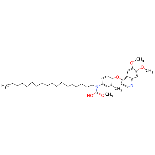 CCCCCCCCCCCCCCCCCCN(C(=O)O)c1ccc(Oc2ccnc3cc(OC)c(OC)cc23)c(C)c1C